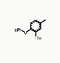 CCCOc1ccc(C)cc1C(C)CC